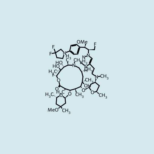 CO[C@H](c1ccc(N2CCC(F)(F)C2)cc1)[C@@H](CF)N(N)/C=C(/CCN(C)[C@@H]1C[C@H](O[C@@H]2[C@@H](C)[C@H](O[C@H]3C[C@@](C)(OC)C[C@H](C)O3)[C@@H](C)C(=O)O[C@H](I)[C@@](C)(O)[C@H](O)[C@@H](C)N(C)C[C@H](C)C[C@@]2(C)O)O[C@H](C)C1)NI